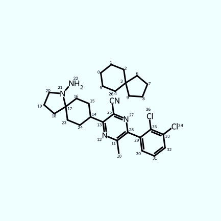 C1CCC2(CC1)CCCC2.Cc1nc(C2CCC3(CCCN3N)CC2)c(C#N)nc1-c1cccc(Cl)c1Cl